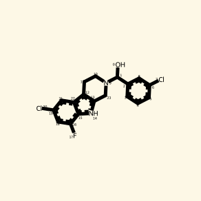 OC(c1cccc(Cl)c1)N1CCc2c([nH]c3c(F)cc(Cl)cc23)C1